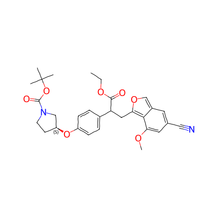 CCOC(=O)C(Cc1occ2cc(C#N)cc(OC)c12)c1ccc(O[C@H]2CCN(C(=O)OC(C)(C)C)C2)cc1